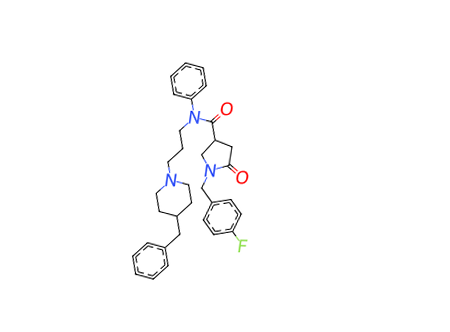 O=C1CC(C(=O)N(CCCN2CCC(Cc3ccccc3)CC2)c2ccccc2)CN1Cc1ccc(F)cc1